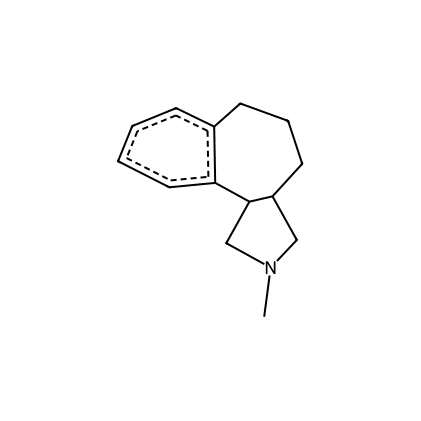 CN1CC2CCCc3ccccc3C2C1